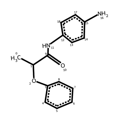 CC(Oc1ccccc1)C(=O)Nc1ccc(N)cc1